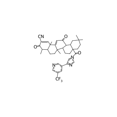 CC1C(=O)C(C#N)=CC2(C)C3=CC(=O)C4C(CCC5(C(=O)n6cnc(-c7cncc(C(F)(F)F)c7)c6)CCC(C)(C)CC45)C3(C)CCC12